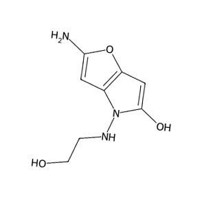 Nc1cc2c(cc(O)n2NCCO)o1